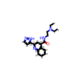 CCN(CC)CCNC(=O)c1cc(-c2ccn[nH]2)nc2ccccc12